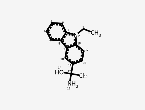 CCn1c2ccccc2c2cc(C(N)(O)Cl)ccc21